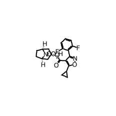 O=C(O[C@@H]1C[C@H]2CC[C@@H](C1)N2C(=O)O)c1c(-c2c(F)cccc2F)noc1C1CC1